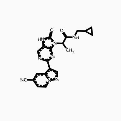 CC(C(=O)NCC1CC1)n1c(=O)[nH]c2cnc(-c3cnn4ccc(C#N)cc34)nc21